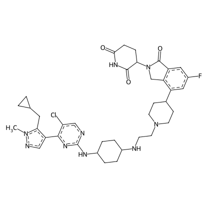 Cn1ncc(-c2nc(NC3CCC(NCCN4CCC(c5cc(F)cc6c5CN(C5CCC(=O)NC5=O)C6=O)CC4)CC3)ncc2Cl)c1CC1CC1